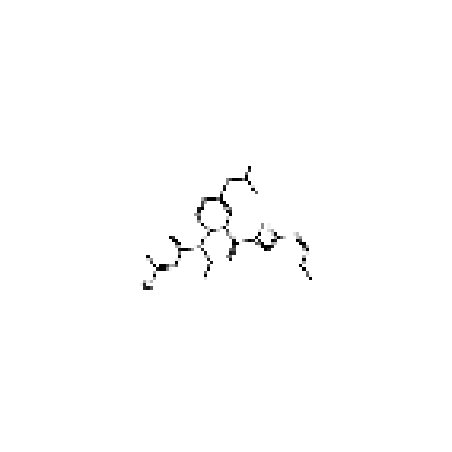 C=C(C1=C=C(/C=C\CC)O1)C1C=C(CC(C)C)C=CN1C(CC)C(=C)/C=C(\C)O